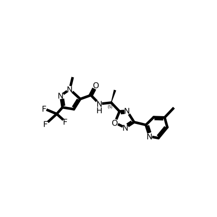 Cc1ccnc(-c2noc([C@H](C)NC(=O)c3cc(C(F)(F)F)nn3C)n2)c1